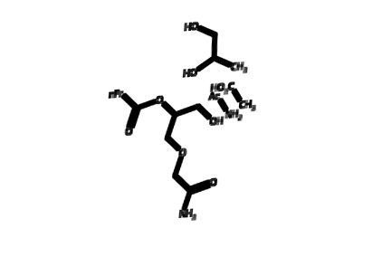 CC(=O)O.CC(N)=O.CC(O)CO.CCCC(=O)OC(CO)COCC(N)=O